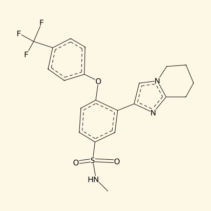 CNS(=O)(=O)c1ccc(Oc2ccc(C(F)(F)F)cc2)c(-c2cn3c(n2)CCCC3)c1